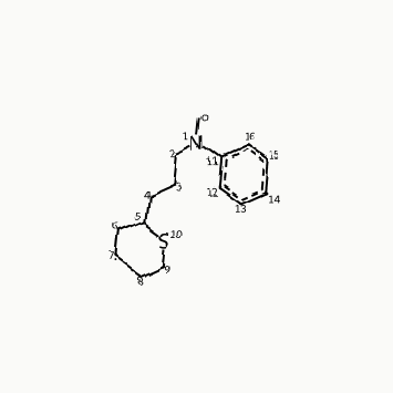 CN(CCCC1C[CH]CCS1)c1ccccc1